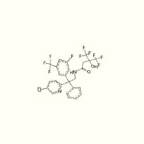 O=C(CC(O)(C(F)(F)F)C(F)(F)F)NCC(c1ccccc1)(c1cc(F)cc(C(F)(F)F)c1)c1ccc(Cl)cn1